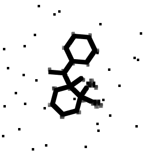 CC(C1CCCCC1)C1(C)CCCCC1(N)N